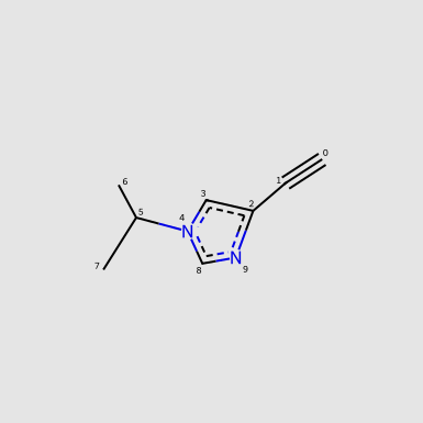 C#Cc1cn(C(C)C)cn1